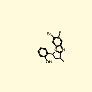 CC1CC(c2ccccc2O)n2c1nc1cc(F)c(Br)cc12